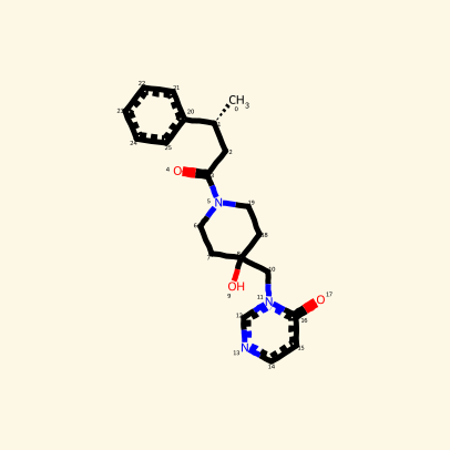 C[C@H](CC(=O)N1CCC(O)(Cn2cnccc2=O)CC1)c1ccccc1